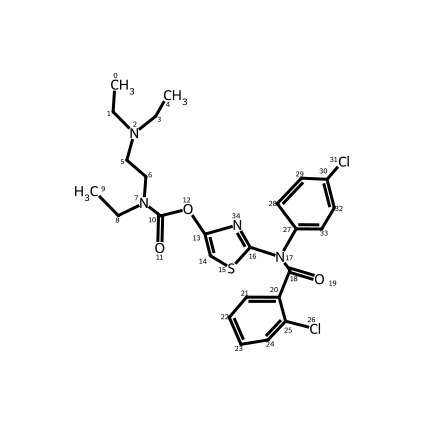 CCN(CC)CCN(CC)C(=O)Oc1csc(N(C(=O)c2ccccc2Cl)c2ccc(Cl)cc2)n1